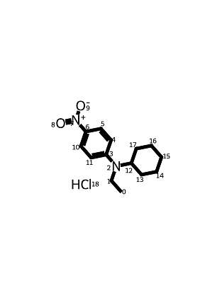 CCN(c1ccc([N+](=O)[O-])cc1)C1CCCCC1.Cl